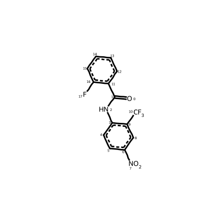 O=C(Nc1ccc([N+](=O)[O-])cc1C(F)(F)F)c1ccccc1F